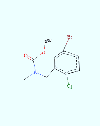 CN(Cc1cc(Br)ccc1Cl)C(=O)OC(C)(C)C